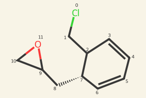 ClCC1C=CC=C[C@@H]1CC1CO1